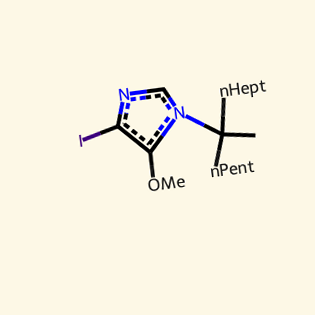 CCCCCCCC(C)(CCCCC)n1cnc(I)c1OC